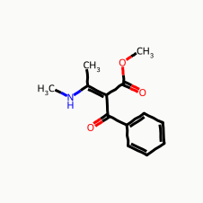 CNC(C)=C(C(=O)OC)C(=O)c1ccccc1